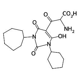 NC(C(=O)O)C(=O)c1c(O)n(C2CCCCC2)c(=O)n(C2CCCCCC2)c1=O